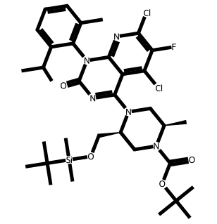 Cc1cccc(C(C)C)c1-n1c(=O)nc(N2C[C@@H](C)N(C(=O)OC(C)(C)C)C[C@H]2CO[Si](C)(C)C(C)(C)C)c2c(Cl)c(F)c(Cl)nc21